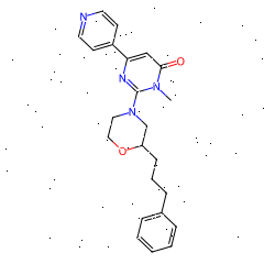 Cn1c(N2CCOC(CCCc3ccccc3)C2)nc(-c2ccncc2)cc1=O